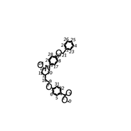 COC(=O)c1ccc(OCCC2CC(=O)N(c3ccc(OCc4ccccc4)cc3)C2)cc1